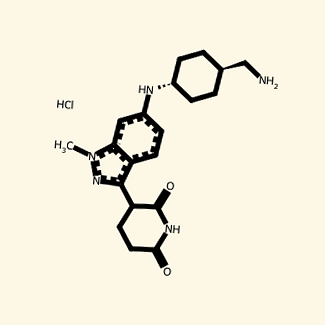 Cl.Cn1nc(C2CCC(=O)NC2=O)c2ccc(N[C@H]3CC[C@H](CN)CC3)cc21